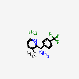 Cc1cccnc1[C@@H](N)c1ccc(C(F)(F)F)cc1.Cl